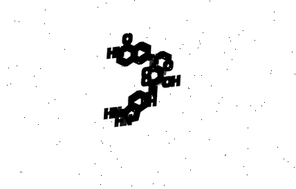 N=C1NCc2cc(NC(=O)[C@H](O)[C@H]3OCCN(c4ccc5c(c4)CCNC5=O)C3=O)ccc21